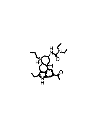 CCCN1C[C@@H](NC(=O)N(CC)CC)C[C@@H]2c3cc(C(C)=O)cc4[nH]c(CC)c(c34)C[C@H]21